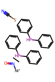 CC.N#C[S-].O=[N][Ni+].c1ccc(Pc2ccccc2)cc1.c1ccc(Pc2ccccc2)cc1